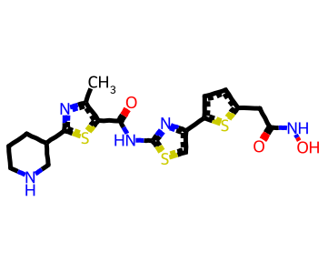 Cc1nc(C2CCCNC2)sc1C(=O)Nc1nc(-c2ccc(CC(=O)NO)s2)cs1